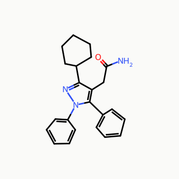 NC(=O)Cc1c(C2CCCCC2)nn(-c2ccccc2)c1-c1ccccc1